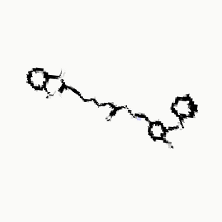 O=C(CCCCCC(=O)Nc1ccccc1O)N/N=C/c1ccc(F)c(Oc2ccccc2)c1